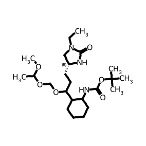 CCN1C[C@@H](CCC(OCOC(C)OC)C2CCCCC2NC(=O)OC(C)(C)C)NC1=O